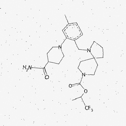 Cc1ccc(CN2CCCC23CCN(C(=O)OC(C)C(F)(F)F)CC3)c(N2CCC(C(N)=O)CC2)c1